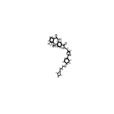 CS1(C)(=O)c2ccc(C(=O)NCc3cnc(-c4ccc(OCCCN5CCC5)cc4)s3)cc2NC(=O)c2ccccc21